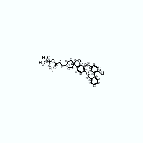 CC(C)(C)OC(=O)CCN1CCC2(CC1)COc1cc(OCc3ccccc3-c3cc(Br)ccc3Cl)ccc12